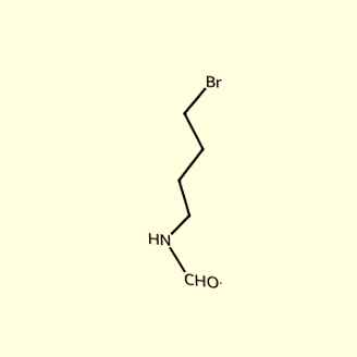 O=[C]NCCCCBr